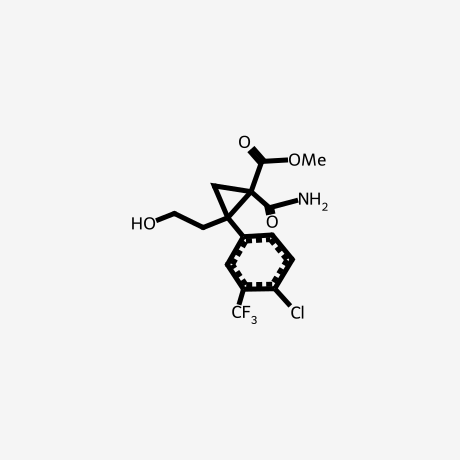 COC(=O)C1(C(N)=O)CC1(CCO)c1ccc(Cl)c(C(F)(F)F)c1